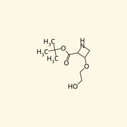 CC(C)(C)OC(=O)C1NCC1OCCO